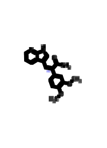 COc1ccc(/C(=C/c2c[nH]c3ncccc23)C(N)=O)cc1OC